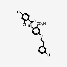 O=C(Nc1ccc(OCCc2cccc(Cl)c2)cc1C(=O)O)c1ccc(Cl)cc1Cl